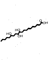 CCCCCC(O)CCC(O)C(O)CCCC=CC=CC=CC(=O)O